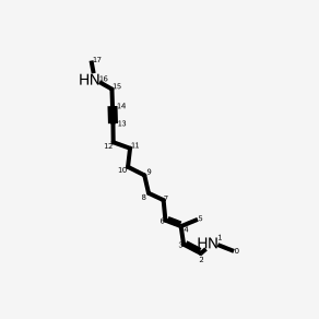 CN/C=C\C(C)=C\CCCCCCC#CCNC